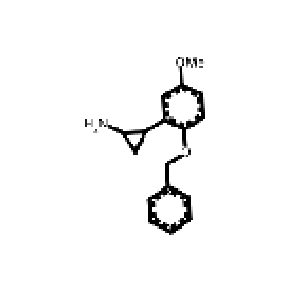 COc1ccc(OCc2ccccc2)c(C2CC2N)c1